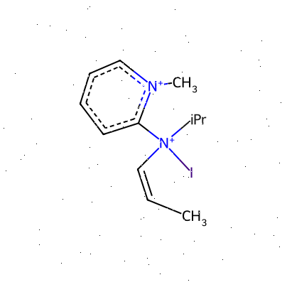 C/C=C\[N+](I)(c1cccc[n+]1C)C(C)C